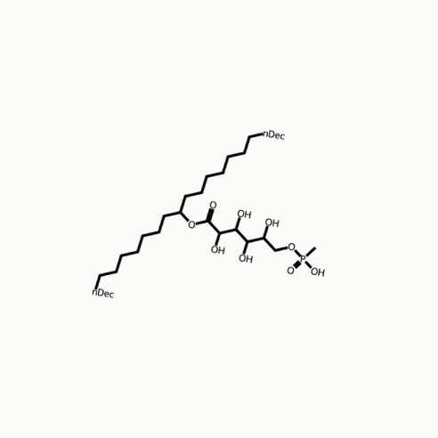 CCCCCCCCCCCCCCCCCC(CCCCCCCCCCCCCCCCC)OC(=O)C(O)C(O)C(O)C(O)COP(C)(=O)O